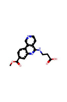 COC(=O)c1ccc2c(c1)nc(NCCC(=O)O)c1ccncc12